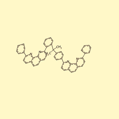 CC(C)(c1ccc(-c2ccc3ccc4ccc(-c5ccccc5)nc4c3n2)cc1)c1ccccc1-c1ccc2ccc3ccc(-c4ccccc4)nc3c2n1